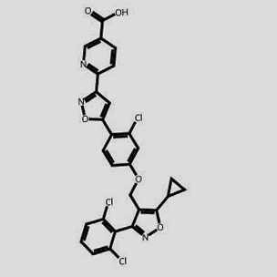 O=C(O)c1ccc(-c2cc(-c3ccc(OCc4c(-c5c(Cl)cccc5Cl)noc4C4CC4)cc3Cl)on2)nc1